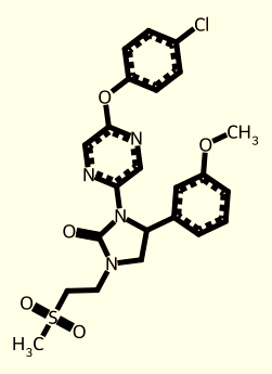 COc1cccc(C2CN(CCS(C)(=O)=O)C(=O)N2c2cnc(Oc3ccc(Cl)cc3)cn2)c1